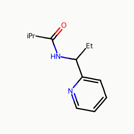 CCC(NC(=O)C(C)C)c1ccccn1